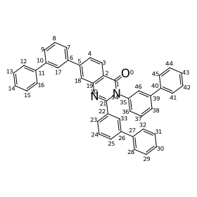 O=c1c2ccc(-c3cccc(-c4ccccc4)c3)cc2nc(-c2cccc(-c3ccccc3)c2)n1-c1cccc(-c2ccccc2)c1